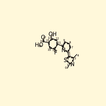 Cc1nc(C)c(-c2cccc(-c3cc(O)c(C(=O)O)cc3F)n2)s1